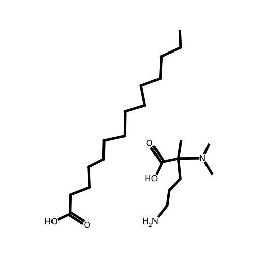 CCCCCCCCCCCCCC(=O)O.CN(C)C(C)(CCCN)C(=O)O